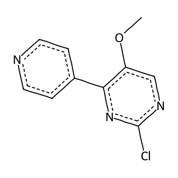 COc1cnc(Cl)nc1-c1ccncc1